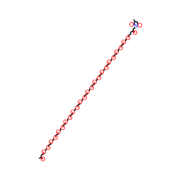 CC(=O)CCOCCOCCOCCOCCOCCOCCOCCOCCOCCOCCOCCOCCOCCOCCOCCOCCOCCOCCOCCOCCOCCOCCOCCOCCCC(=O)CCN1C(=O)CC(C)C1=O